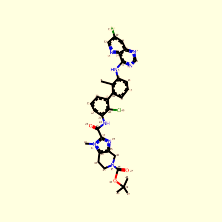 Cc1c(Nc2ncnc3cc(Br)cnc23)cccc1-c1cccc(NC(=O)c2nc3c(n2C)CCN(C(=O)OC(C)(C)C)C3)c1Cl